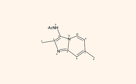 CC(=O)[N]c1c(C)nc2cc(C)ccn12